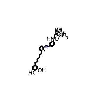 CCC(CC)(CC(=O)Nc1cccc(/C=C/c2cccc(CCCCCCc3ccc(O)c(O)c3)n2)c1)C(=O)O